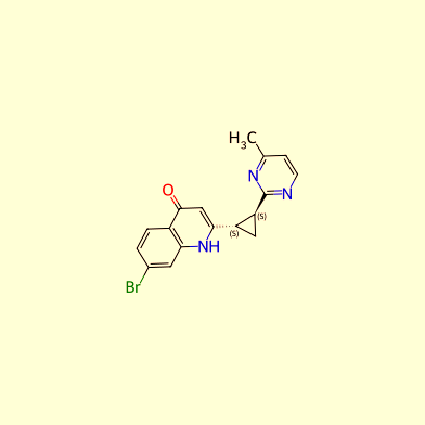 Cc1ccnc([C@H]2C[C@@H]2c2cc(=O)c3ccc(Br)cc3[nH]2)n1